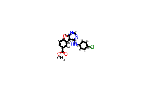 COC(=O)c1ccc2oc3ncnc(Nc4ccc(Cl)cc4)c3c2c1